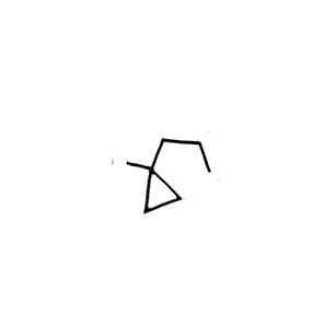 CC(C)C1(C[C@H](C)O)CC1